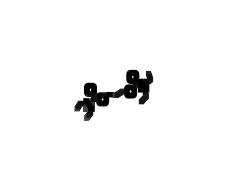 CCN(CC)C(=O)OCCCOC(=O)N(CC)CC